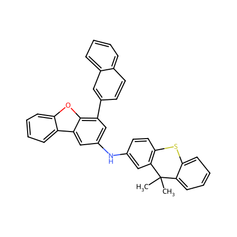 CC1(C)c2ccccc2Sc2ccc(Nc3cc(-c4ccc5ccccc5c4)c4oc5ccccc5c4c3)cc21